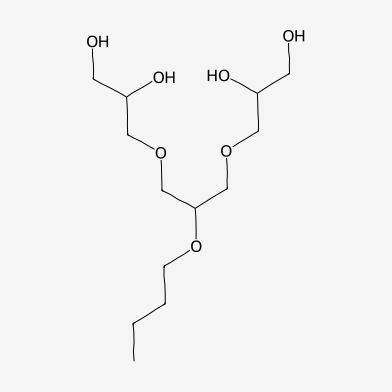 CCCCOC(COCC(O)CO)COCC(O)CO